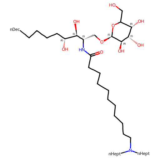 CCCCCCCCCCCCCC[C@@H](O)[C@@H](O)[C@H](CO[C@H]1OC(CO)[C@H](O)[C@H](O)[C@H]1O)NC(=O)CCCCCCCCCCN(CCCCCCC)CCCCCCC